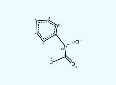 O=C(Cl)[C@@H](Cl)c1ccccc1